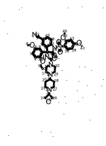 CCOc1ccc(OC)cc1[C@]1(NC(=O)N2CCN(C3CCN(C4COC4)CC3)CC2)C(=O)N(S(=O)(=O)c2ccc(OC)cc2OC)c2ccc(C#N)cc21